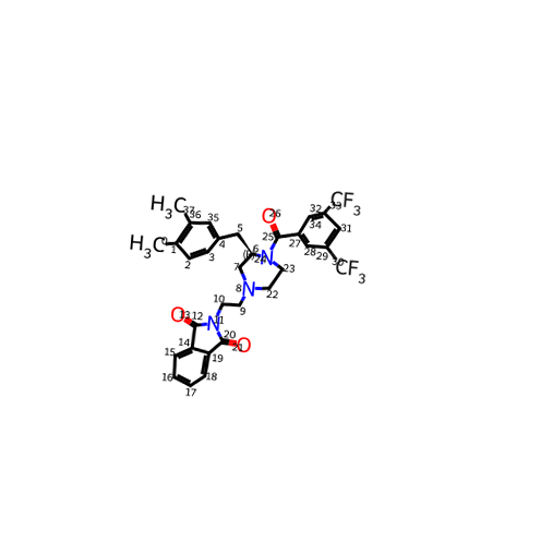 Cc1ccc(C[C@@H]2CN(CCN3C(=O)c4ccccc4C3=O)CCN2C(=O)c2cc(C(F)(F)F)cc(C(F)(F)F)c2)cc1C